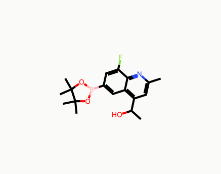 Cc1cc(C(C)O)c2cc(B3OC(C)(C)C(C)(C)O3)cc(F)c2n1